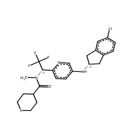 CN(C(=O)C1CCSCC1)[C@@H](c1ccc(N[C@H]2Cc3ccc(Cl)cc3C2)cn1)C(F)(F)F